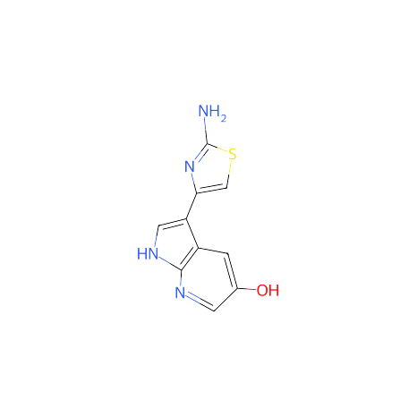 Nc1nc(-c2c[nH]c3ncc(O)cc23)cs1